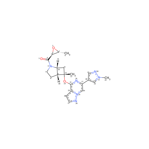 C[C@H]1O[C@@H]1C(=O)N1CC[C@@H]2[C@H]1C[C@]2(C)Oc1nc(-c2cnn(C)c2)cn2nccc12